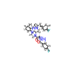 CC1(NCCC[C@H](NC(=O)c2ccc(F)cc2)C(=O)N2CCN(c3ccccc3)CC2)C[C@H]1c1ccc(F)cc1